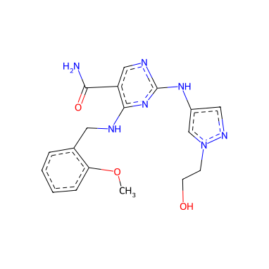 COc1ccccc1CNc1nc(Nc2cnn(CCO)c2)ncc1C(N)=O